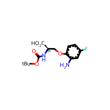 CC(C)(C)OC(=O)N[C@H](COc1ccc(F)cc1N)C(=O)O